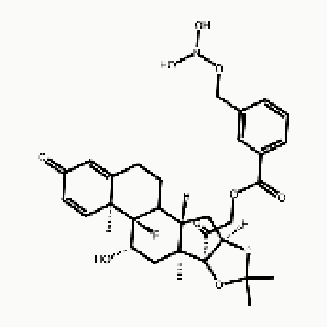 CC1(C)O[C@@H]2C[C@H]3C4CCC5=CC(=O)C=C[C@]5(C)[C@@]4(F)[C@@H](O)C[C@]3(C)[C@]2(C(=O)COC(=O)c2cccc(CON(O)O)c2)O1